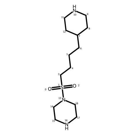 O=S(=O)(CCC[CH]C1CCNCC1)N1CCNCC1